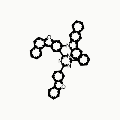 c1ccc(-c2nc(-c3ccc4c(c3)oc3ccccc34)nc(-c3cc4c(cc3-n3c5ccccc5c5cc6ccccc6cc53)oc3ccc5ccccc5c34)n2)cc1